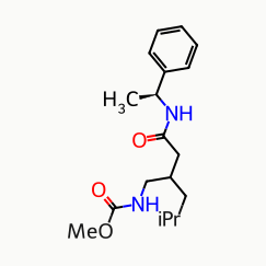 COC(=O)NCC(CC(=O)N[C@@H](C)c1ccccc1)CC(C)C